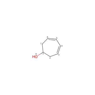 OC1CC=CC=CC1